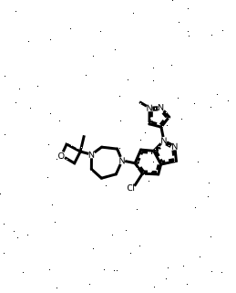 Cn1cc(-n2ncc3cc(Cl)c(N4CCCN(C5(C)COC5)CC4)cc32)cn1